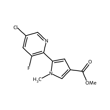 COC(=O)c1cc(-c2ncc(Cl)cc2F)n(C)c1